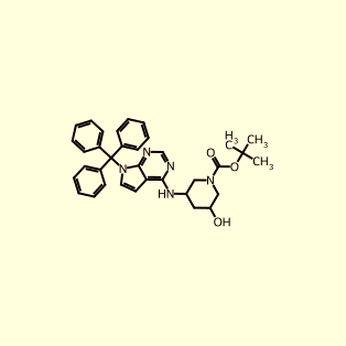 CC(C)(C)OC(=O)N1CC(O)CC(Nc2ncnc3c2ccn3C(c2ccccc2)(c2ccccc2)c2ccccc2)C1